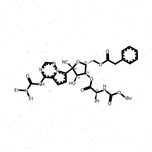 CCN(CC)C(=O)Nc1ncnn2c([C@]3(C#N)O[C@H](COC(=O)Cc4ccccc4)[C@@H](OC(=O)[C@@H](NC(=O)OC(C)(C)C)C(C)C)[C@H]3O)ccc12